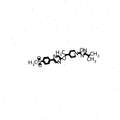 CC(C)c1noc(N2CCC([C@H](C)Oc3cnc(-c4ccc(S(C)(=O)=O)cc4)cn3)CC2)n1